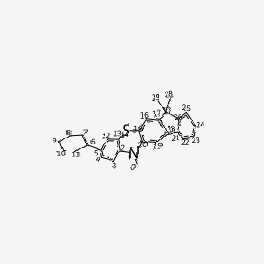 CN1c2ccc(C3CCCCC3)cc2Sc2cc3c(cc21)-c1ccccc1C3(C)C